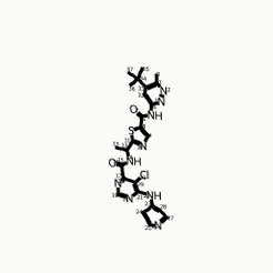 Cc1nnc(NC(=O)c2cnc(C(C)NC(=O)c3ncnc(Nc4ccncc4)c3Cl)s2)cc1C(C)(C)C